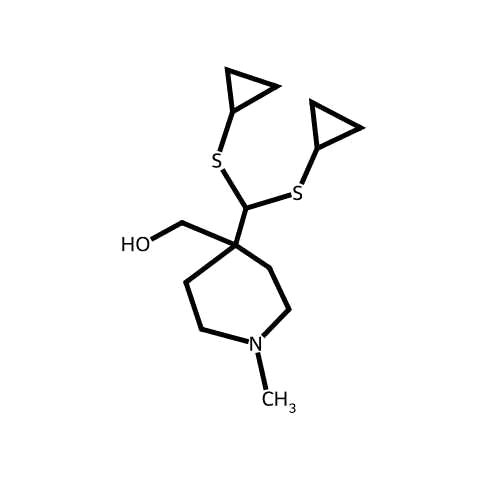 CN1CCC(CO)(C(SC2CC2)SC2CC2)CC1